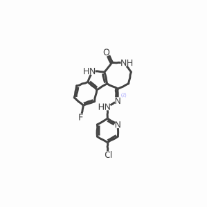 O=C1NCC/C(=N/Nc2ccc(Cl)cn2)c2c1[nH]c1ccc(F)cc21